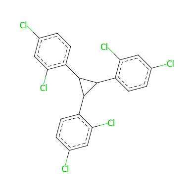 Clc1ccc(C2C(c3ccc(Cl)cc3Cl)C2c2ccc(Cl)cc2Cl)c(Cl)c1